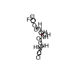 O=C(COc1ccc(Cl)c(F)c1)NC12CCC(NC(=O)COC3NCN(c4ccc(Cl)cc4)N3)(CC1)[C@@H](O)C2